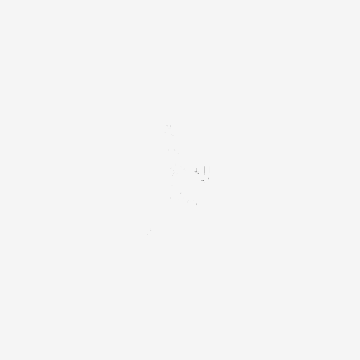 O=C/C=C/C=C(O)C(CO)(CO)C(O)=C/C=C/C=O